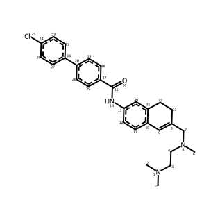 CN(C)CCN(C)CC1=Cc2ccc(NC(=O)c3ccc(-c4ccc(Cl)cc4)cc3)cc2CC1